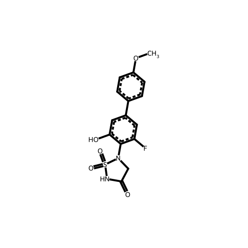 COc1ccc(-c2cc(O)c(N3CC(=O)NS3(=O)=O)c(F)c2)cc1